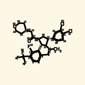 CN(Cc1ccc(C(F)(F)F)c(F)c1)[C@H]1CN(C(=O)CN2CCOCC2)C[C@@H]1c1ccc(Cl)c(Cl)c1